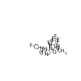 Cn1nc(C(F)(F)C(F)(F)F)c(C(F)(F)F)c1C(=O)NC1C=C(C(=O)Nc2ccc(F)cc2)N=CC1